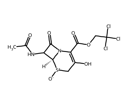 CC(=O)NC1C(=O)N2C(C(=O)OCC(Cl)(Cl)Cl)=C(O)C[S+]([O-])[C@@H]12